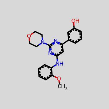 COc1ccccc1Nc1cc(-c2cccc(O)c2)nc(N2CCOCC2)n1